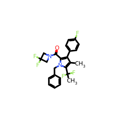 Cc1c(-c2ccc(F)cc2)c(C(=O)N2CC(F)(F)C2)n(Cc2ccccc2)c1C(C)(F)F